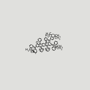 CC1(C)CCC(C)(C)c2cc(N3c4ccccc4B4c5cc6c(cc5N(c5ncccn5)c5cc(N7c8ccccc8[Si](C)(C)c8ccccc87)cc3c54)N(c3ncccn3)c3cc(N4c5ccccc5[Si](C)(C)c5ccccc54)cc4c3B6c3ccccc3O4)ccc21